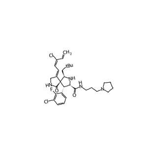 C=C/C(Cl)=C\C=C1/CNC(=O)[C@]12[C@@H](CC(C)(C)C)N[C@@H](C(=O)NCCCN1CCCC1)[C@@H]2c1cccc(Cl)c1F